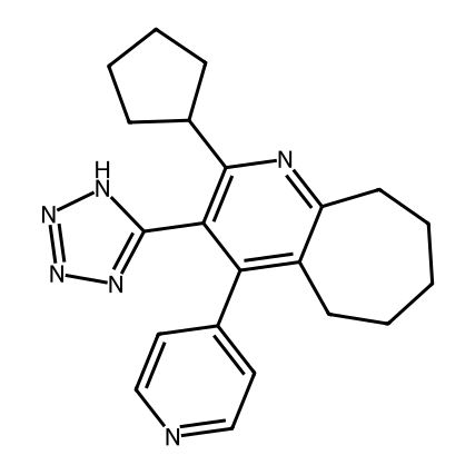 c1cc(-c2c3c(nc(C4CCCC4)c2-c2nnn[nH]2)CCCCC3)ccn1